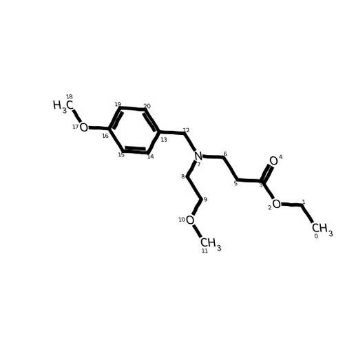 CCOC(=O)CCN(CCOC)Cc1ccc(OC)cc1